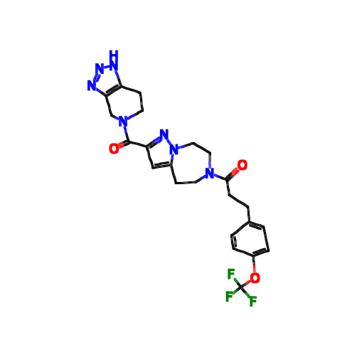 O=C(CCc1ccc(OC(F)(F)F)cc1)N1CCc2cc(C(=O)N3CCc4[nH]nnc4C3)nn2CC1